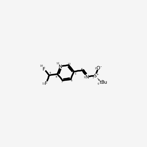 CC(C)(C)[S@@+]([O-])/N=C/c1ccc(C(F)F)nc1